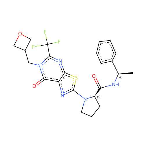 C[C@@H](NC(=O)[C@H]1CCCN1c1nc2c(=O)n(CC3COC3)c(C(F)(F)F)nc2s1)c1ccccc1